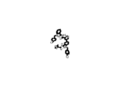 Cc1ncsc1C(=O)Nc1nn(Cc2ccc(Cl)cc2)c2ccc(-c3cnnc(C(=O)Nc4nn(Cc5ccc(Cl)cc5)c5ccccc45)c3)cc12